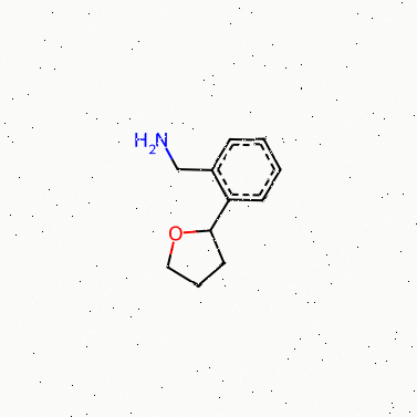 NCc1ccccc1C1CCCO1